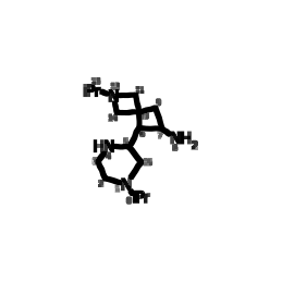 CC(C)N1CCNC(C2C(N)CC23CN(C(C)C)C3)C1